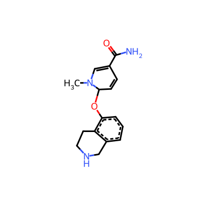 CN1C=C(C(N)=O)C=CC1Oc1cccc2c1CCNC2